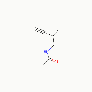 C#CC(C)CNC(C)=O